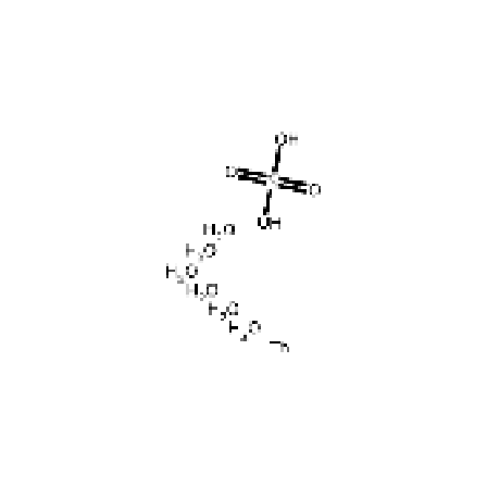 O.O.O.O.O.O.O=S(=O)(O)O.[Th]